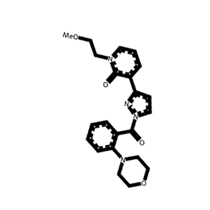 COCCn1cccc(-c2ccn(C(=O)c3ccccc3N3CCOCC3)n2)c1=O